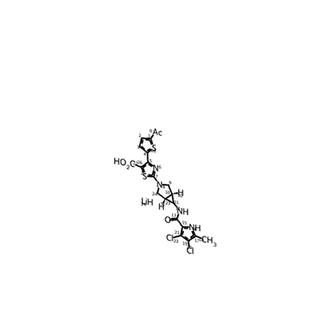 CC(=O)c1ccc(-c2nc(N3C[C@@H]4C(NC(=O)c5[nH]c(C)c(Cl)c5Cl)[C@@H]4C3)sc2C(=O)O)s1.[LiH]